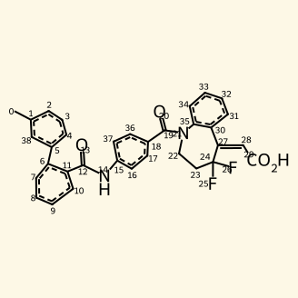 Cc1cccc(-c2ccccc2C(=O)Nc2ccc(C(=O)N3CCC(F)(F)/C(=C\C(=O)O)c4ccccc43)cc2)c1